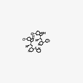 N#C/C(=C\c1cnccc1-c1ccoc1)c1c[nH]c2ccc(Cl)cc12.N#C/C(=C\c1cnccc1Sc1ccccn1)c1c[nH]c2ccc(Cl)cc12